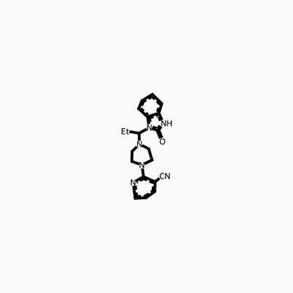 CCC(N1CCN(c2ncccc2C#N)CC1)n1c(=O)[nH]c2ccccc21